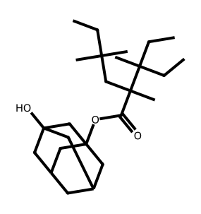 CCC(C)(C)CC(C)(C(=O)OC12CC3CC(CC(O)(C3)C1)C2)C(C)(CC)CC